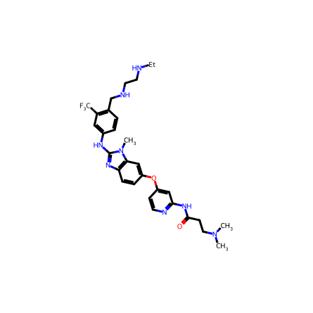 CCNCCNCc1ccc(Nc2nc3ccc(Oc4ccnc(NC(=O)CCN(C)C)c4)cc3n2C)cc1C(F)(F)F